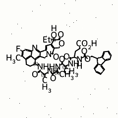 CC[C@@]1(O)C(=O)OCc2c1cc1n(c2=O)Cc2c-1nc1cc(F)c(C)c3c1c2[C@@H](NC(=O)[C@H](C)NC(=O)[C@H](C)NC(=O)[C@H](C)NC(=O)C(CCC(=O)O)NC(=O)OCC1c2ccccc2-c2ccccc21)CC3